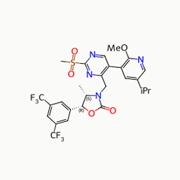 COc1ncc(C(C)C)cc1-c1cnc(S(C)(=O)=O)nc1CN1C(=O)O[C@H](c2cc(C(F)(F)F)cc(C(F)(F)F)c2)[C@@H]1C